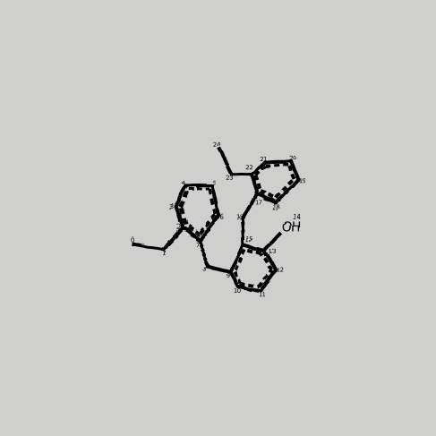 CCc1ccccc1Cc1cccc(O)c1Cc1ccccc1CC